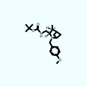 COc1ccc(CN2C3CC(C3)[C@@H](C)[C@H]2CNC(=O)OC(C)(C)C)cc1